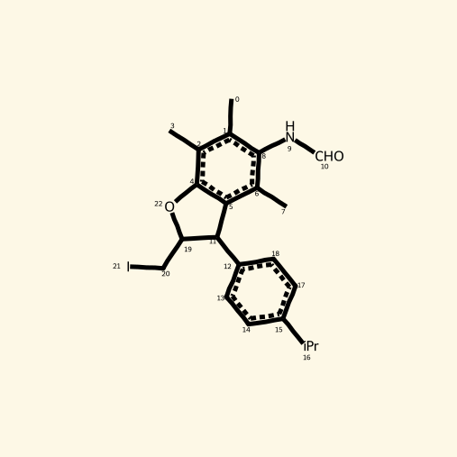 Cc1c(C)c2c(c(C)c1NC=O)C(c1ccc(C(C)C)cc1)C(CI)O2